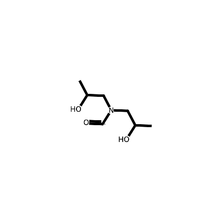 CC(O)CN([C]=O)CC(C)O